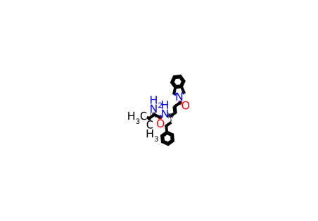 CC(C)[C@H](N)C(=O)N[C@H](C=CC(=O)N1Cc2ccccc2C1)CCc1ccccc1